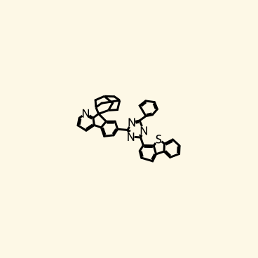 c1ccc(-c2nc(-c3ccc4c(c3)C3(c5ncccc5-4)C4CC5CC(C4)CC3C5)nc(-c3cccc4c3sc3ccccc34)n2)cc1